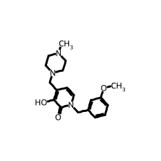 COc1cccc(Cn2ccc(CN3CCN(C)CC3)c(O)c2=O)c1